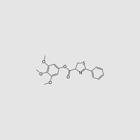 COc1cc(OC(=O)C2CSC(c3ccccc3)=N2)cc(OC)c1OC